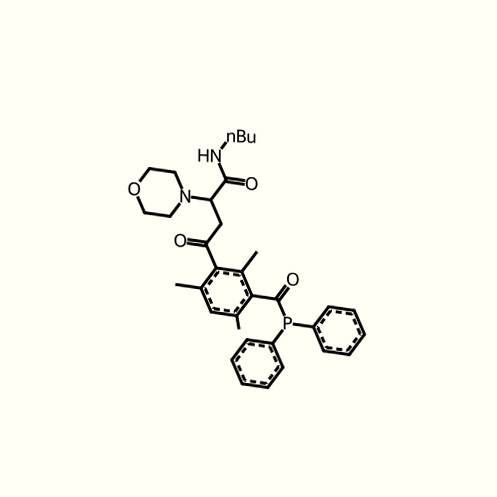 CCCCNC(=O)C(CC(=O)c1c(C)cc(C)c(C(=O)P(c2ccccc2)c2ccccc2)c1C)N1CCOCC1